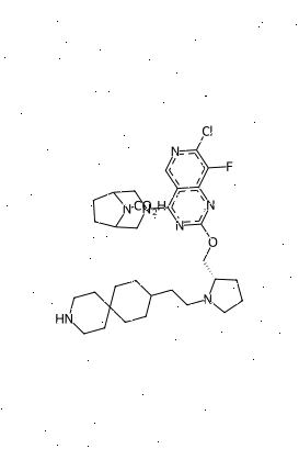 O=C(O)N1C2CCC1CN(c1nc(OC[C@@H]3CCCN3CCC3CCC4(CCNCC4)CC3)nc3c(F)c(Cl)ncc13)C2